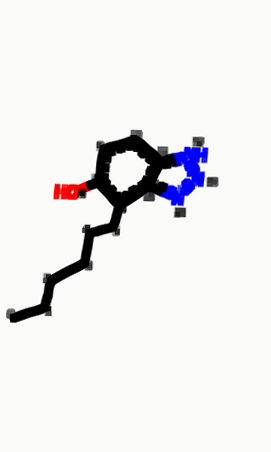 CCCCCCc1c(O)ccc2[nH]nnc12